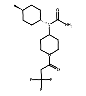 C[C@H]1CC[C@H](N(C(N)=O)C2CCN(C(=O)CC(F)(F)F)CC2)CC1